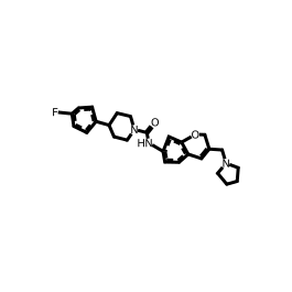 O=C(Nc1ccc2c(c1)OCC(CN1CCCC1)=C2)N1CCC(c2ccc(F)cc2)CC1